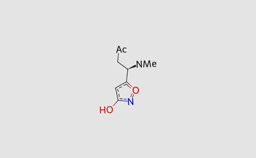 CN[C@H](CC(C)=O)c1cc(O)no1